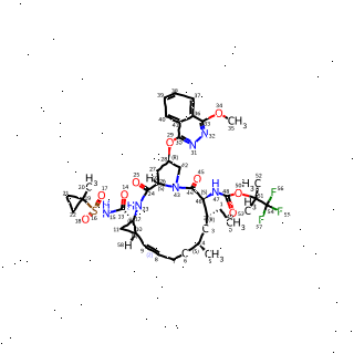 CC[C@@H]1C[C@@H](C)CC/C=C\[C@@H]2C[C@@]2(C(=O)NS(=O)(=O)C2(C)CC2)NC(=O)[C@@H]2C[C@@H](Oc3nnc(OC)c4ccccc34)CN2C(=O)[C@H]1NC(=O)OC(C)(C)C(F)(F)F